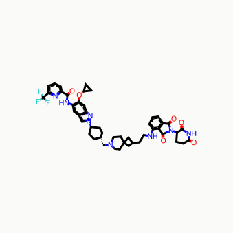 O=C1CCC(N2C(=O)c3cccc(NCCC4CC5(CCN(C[C@H]6CC[C@H](n7cc8cc(NC(=O)c9cccc(C(F)(F)F)n9)c(OC9CC9)cc8n7)CC6)CC5)C4)c3C2=O)C(=O)N1